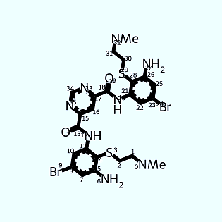 CNCCSc1c(N)cc(Br)cc1NC(=O)c1cc(C(=O)Nc2cc(Br)cc(N)c2SCCNC)ncn1